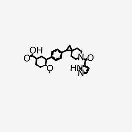 COC1CCC(C(=O)O)CC1c1ccc(C2CC23CCN(C(=O)c2ccn[nH]2)CC3)cc1